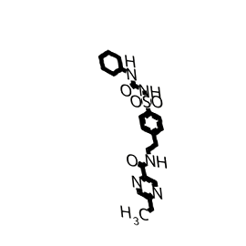 CCc1cnc(C(=O)NCCc2ccc(S(=O)(=O)NC(=O)NC3CCCCC3)cc2)cn1